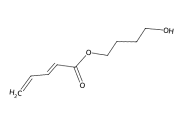 C=CC=CC(=O)OCCCCO